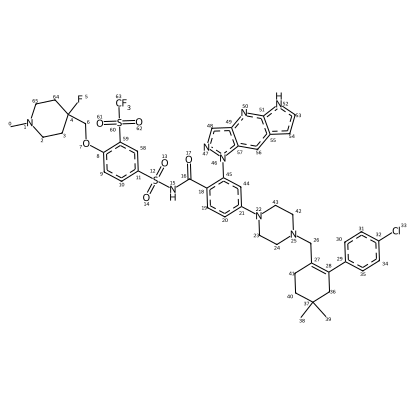 CN1CCC(F)(COc2ccc(S(=O)(=O)NC(=O)c3ccc(N4CCN(CC5=C(c6ccc(Cl)cc6)CC(C)(C)CC5)CC4)cc3-n3ncc4nc5[nH]ccc5cc43)cc2S(=O)(=O)C(F)(F)F)CC1